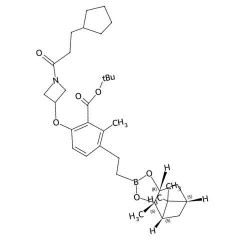 Cc1c(CCB2O[C@@H]3C[C@@H]4C[C@@H](C4(C)C)[C@]3(C)O2)ccc(OC2CN(C(=O)CCC3CCCC3)C2)c1C(=O)OC(C)(C)C